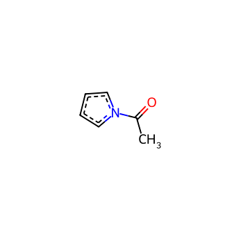 CC(=O)n1cccc1